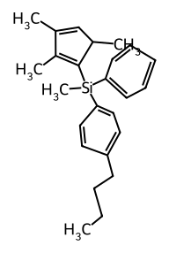 CCCCc1ccc([Si](C)(C2=C(C)C(C)=CC2C)c2ccccc2)cc1